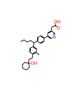 CCCCC(c1ccc(-c2cncc(CC(=O)O)c2)cc1)c1ccc(CCC2(O)CCCCC2)c(C)c1